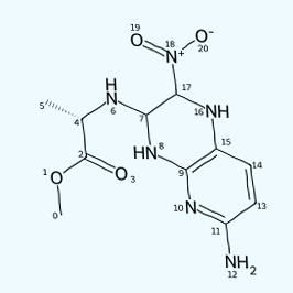 COC(=O)[C@H](C)NC1Nc2nc(N)ccc2NC1[N+](=O)[O-]